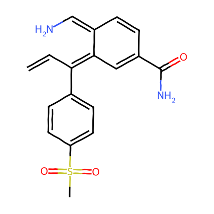 C=C/C(c1ccc(S(C)(=O)=O)cc1)=c1/cc(C(N)=O)cc/c1=C/N